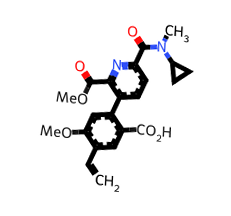 C=Cc1cc(C(=O)O)c(-c2ccc(C(=O)N(C)C3CC3)nc2C(=O)OC)cc1OC